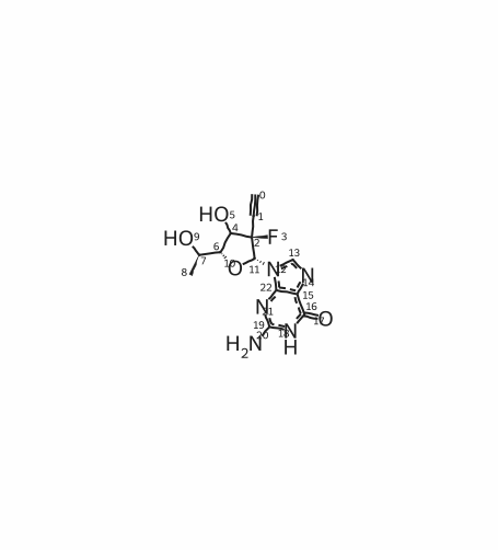 C#C[C@@]1(F)C(O)[C@@H]([C@@H](C)O)O[C@H]1n1cnc2c(=O)[nH]c(N)nc21